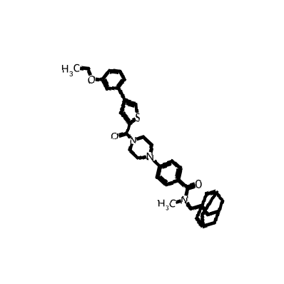 CCOc1cccc(-c2csc(C(=O)N3CCN(c4ccc(C(=O)N(C)CC56CC7CC(CC(C7)C5)C6)cc4)CC3)c2)c1